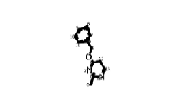 CC1=NC(OCc2ccccc2)CC=N1